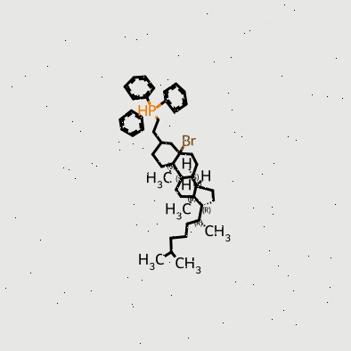 CC(C)CCC[C@@H](C)[C@H]1CC[C@H]2[C@@H]3CCC4(Br)CC(CC[PH](c5ccccc5)(c5ccccc5)c5ccccc5)CC[C@]4(C)[C@H]3CC[C@]12C